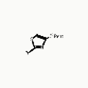 CCC[C@@H](C)c1csc(C(C)C)n1